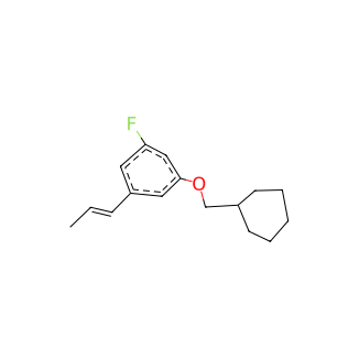 C/C=C/c1cc(F)cc(OCC2CCCCC2)c1